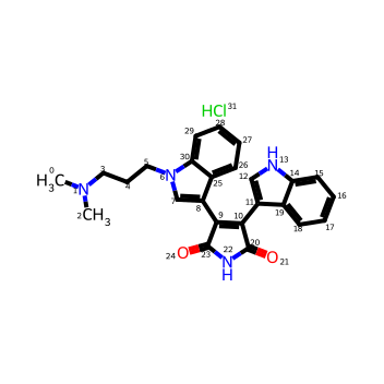 CN(C)CCCn1cc(C2=C(c3c[nH]c4ccccc34)C(=O)NC2=O)c2ccccc21.Cl